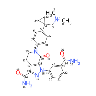 CN(C)CC1(c2ccc(N3CCc4c(C(N)=O)nn(-c5cccc(C(N)=O)c5)c4C3=O)cc2)CC1